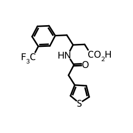 O=C(O)CC(Cc1cccc(C(F)(F)F)c1)NC(=O)Cc1ccsc1